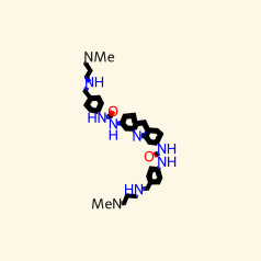 CNCCCNCc1ccc(NC(=O)Nc2ccc3cc4ccc(NC(=O)Nc5ccc(CNCCCNC)cc5)cc4[n+](C)c3c2)cc1